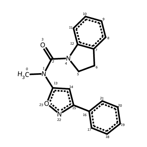 CN(C(=O)N1CCc2ccccc21)c1cc(-c2ccccc2)no1